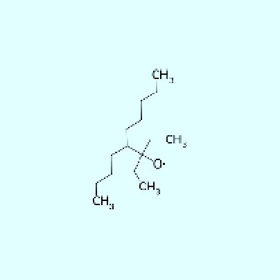 CCCCCC(CCCC)C([O])(CC)CC